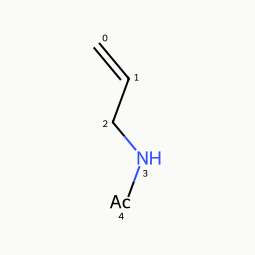 C=CC[NH][Ac]